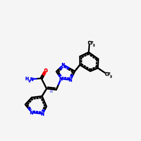 NC(=O)/C(=C\n1cnc(-c2cc(C(F)(F)F)cc(C(F)(F)F)c2)n1)c1ccnnc1